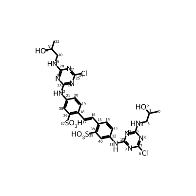 CC(O)CNc1nc(Cl)nc(Nc2ccc(/C=C/c3ccc(Nc4nc(Cl)nc(NCC(C)O)n4)cc3S(=O)(=O)O)c(S(=O)(=O)O)c2)n1